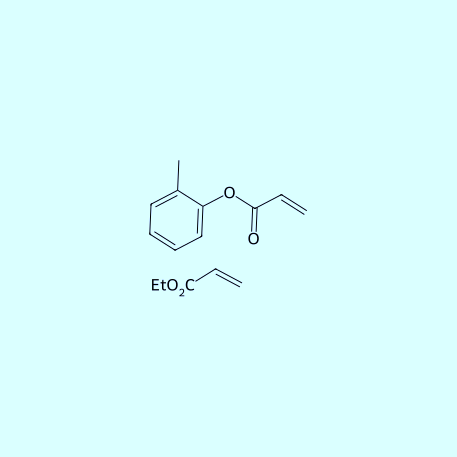 C=CC(=O)OCC.C=CC(=O)Oc1ccccc1C